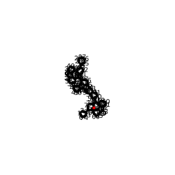 c1ccc(-c2ccc(N(c3ccc4cc5c6ccc(N(c7ccc(-c8ccccc8)cc7)c7cccc8sc9ccccc9c78)c7c8ccccc8n(c5cc4c3)c67)c3cccc4sc5ccccc5c34)cc2)cc1